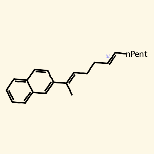 CCCCC/C=C/CCC=C(C)c1ccc2ccccc2c1